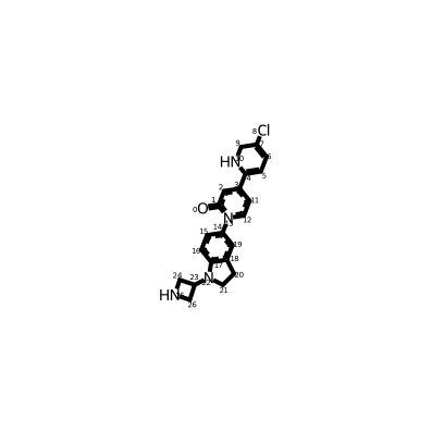 O=c1cc(C2=CC=C(Cl)CN2)ccn1-c1ccc2c(c1)CCN2C1CNC1